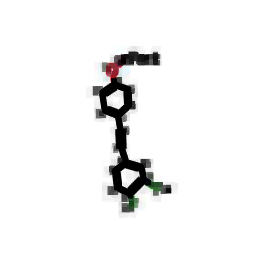 CCCCCOc1ccc(C#Cc2ccc(F)c(F)c2)cc1